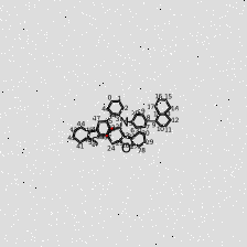 c1ccc(N(c2ccc(-c3cccc4ccccc34)cc2)c2cccc3oc4ccccc4c23)c(-c2ccc3sc4ccccc4c3c2)c1